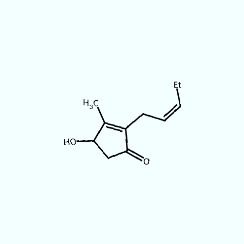 CC/C=C\CC1=C(C)C(O)CC1=O